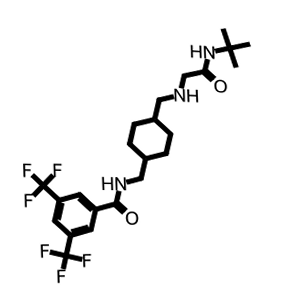 CC(C)(C)NC(=O)CNCC1CCC(CNC(=O)c2cc(C(F)(F)F)cc(C(F)(F)F)c2)CC1